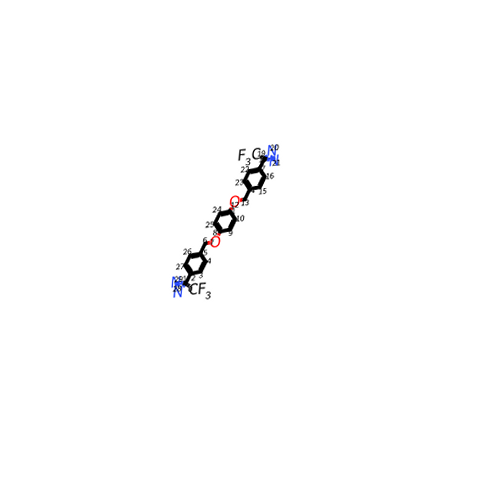 FC(F)(F)C1(c2ccc(COc3ccc(OCc4ccc(C5(C(F)(F)F)N=N5)cc4)cc3)cc2)N=N1